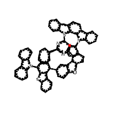 c1ccc(-c2nc(-c3cccc4oc5ccc(-c6ccc(-n7c8ccccc8c8ccccc87)c7sc8ccccc8c67)cc5c34)nc(-n3c4ccccc4c4ccc5c6ccccc6n(-c6ccccc6)c5c43)n2)cc1